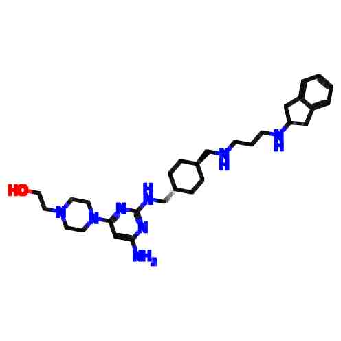 Nc1cc(N2CCN(CCO)CC2)nc(NC[C@H]2CC[C@H](CNCCCNC3Cc4ccccc4C3)CC2)n1